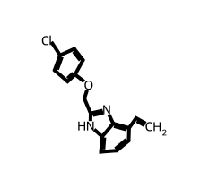 C=Cc1cccc2[nH]c(COc3ccc(Cl)cc3)nc12